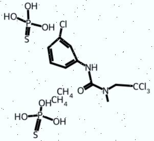 C.C.CN(CC(Cl)(Cl)Cl)C(=O)Nc1cccc(Cl)c1.OP(O)(O)=S.OP(O)(O)=S